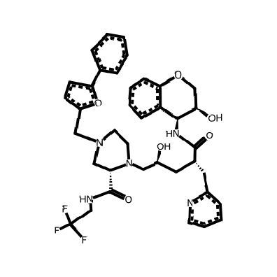 O=C(N[C@H]1c2ccccc2OC[C@H]1O)[C@H](Cc1ccccn1)C[C@H](O)CN1CCN(Cc2ccc(-c3ccccc3)o2)C[C@H]1C(=O)NCC(F)(F)F